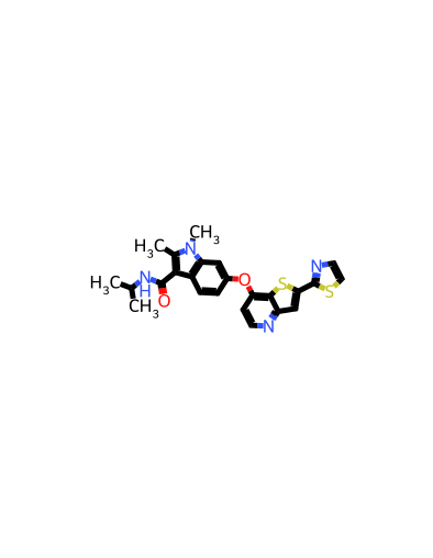 Cc1c(C(=O)NC(C)C)c2ccc(Oc3ccnc4cc(-c5nccs5)sc34)cc2n1C